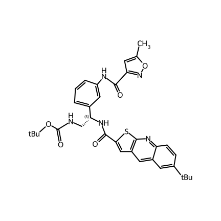 Cc1cc(C(=O)Nc2cccc([C@@H](CNC(=O)OC(C)(C)C)NC(=O)c3cc4cc5cc(C(C)(C)C)ccc5nc4s3)c2)no1